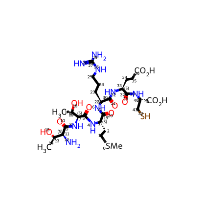 CSCC[C@H](NC(=O)[C@@H](NC(=O)[C@@H](N)[C@@H](C)O)[C@@H](C)O)C(=O)N[C@@H](CCCNC(=N)N)C(=O)N[C@@H](CCC(=O)O)C(=O)N[C@@H](CS)C(=O)O